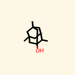 CC1[C]2CC3(C)CC(C)(C2)CC1(O)C3